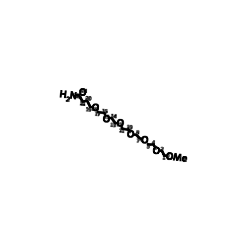 COCCOCCOCCOCCOCCOCCOCCCC(N)=O